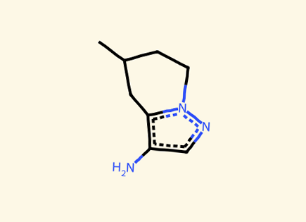 CC1CCn2ncc(N)c2C1